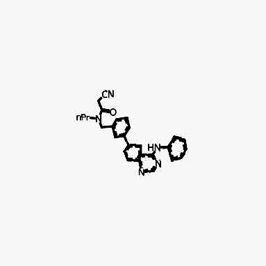 CCCN(Cc1cccc(-c2ccc3ncnc(Nc4ccccc4)c3c2)c1)C(=O)CC#N